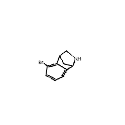 Brc1cccc2c1C1CNC2C1